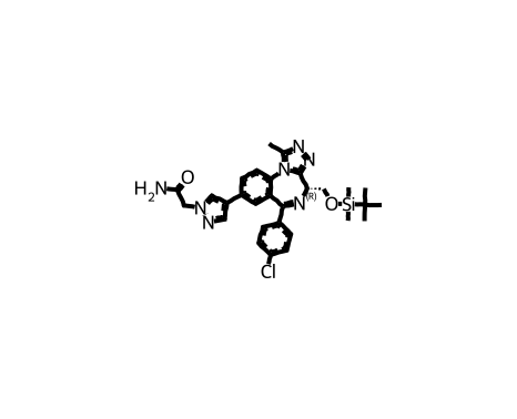 Cc1nnc2n1-c1ccc(-c3cnn(CC(N)=O)c3)cc1C(c1ccc(Cl)cc1)=N[C@H]2CO[Si](C)(C)C(C)(C)C